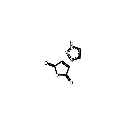 O=C1C=CC(=O)O1.c1c[nH]nn1